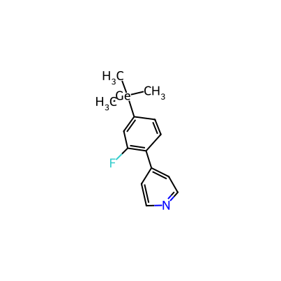 [CH3][Ge]([CH3])([CH3])[c]1ccc(-c2ccncc2)c(F)c1